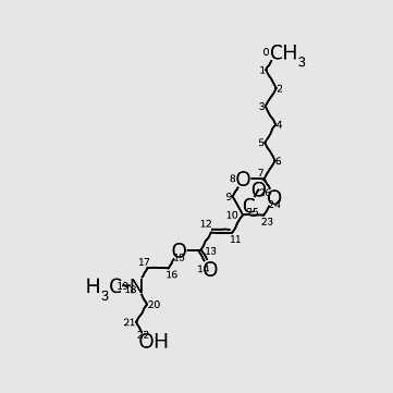 CCCCCCCC12OCC(C=CC(=O)OCCN(C)CCO)(CO1)CO2